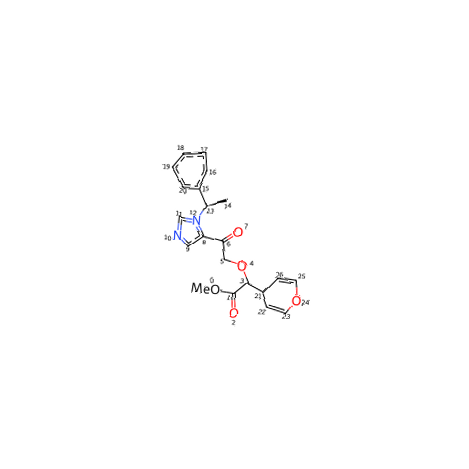 COC(=O)C(OCC(=O)c1cncn1[C@H](C)c1ccccc1)C1C=COC=C1